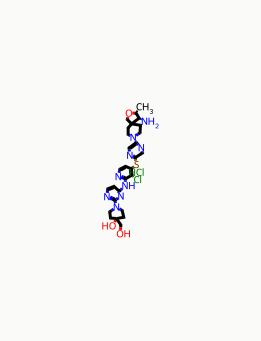 C[C@@H]1OCC2(CCN(c3cnc(Sc4ccnc(Nc5ccnc(N6CCC(O)(CO)CC6)n5)c4Cl)cn3)CC2)[C@@H]1N.Cl